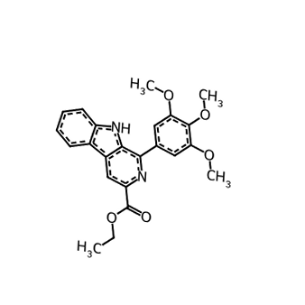 CCOC(=O)c1cc2c([nH]c3ccccc32)c(-c2cc(OC)c(OC)c(OC)c2)n1